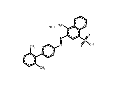 Cc1cccc(C)c1-c1ccc(N=Nc2cc(S(=O)(=O)O)c3ccccc3c2N)cn1.[NaH]